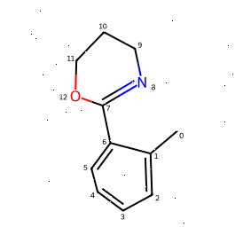 Cc1ccccc1C1=NCCCO1